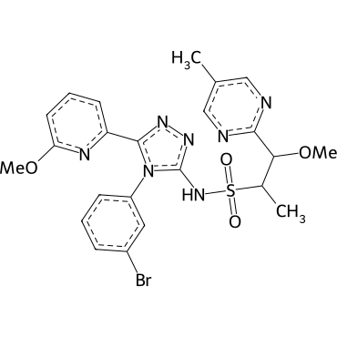 COc1cccc(-c2nnc(NS(=O)(=O)C(C)C(OC)c3ncc(C)cn3)n2-c2cccc(Br)c2)n1